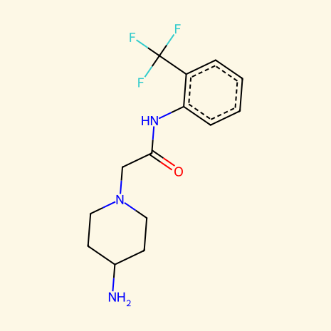 NC1CCN(CC(=O)Nc2ccccc2C(F)(F)F)CC1